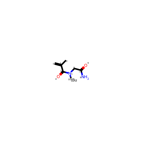 C=C(C)C(=O)N(CC(N)=O)C(C)(C)C